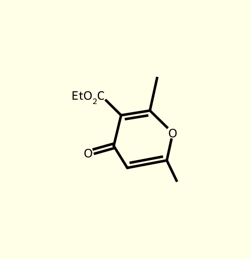 CCOC(=O)c1c(C)oc(C)cc1=O